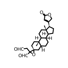 C[C@]12CC[C@@]3(C[C@H]1CC[C@@H]1[C@@H]2CC[C@]2(C)[C@@H](C4=CC(=O)OC4)CC[C@@H]12)OC3(C=O)CC=O